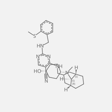 CSc1ccccc1CNc1ncc(C#N)c(NCC2C[C@H]3CCC[C@@H](C2)[C@@H]3N(C)[C@H]2CC[C@@H](O)CC2)n1